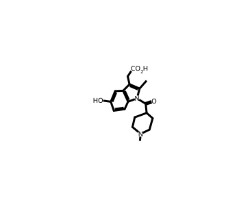 Cc1c(CC(=O)O)c2cc(O)ccc2n1C(=O)C1CCN(C)CC1